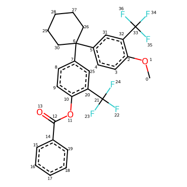 COc1ccc(C2(c3ccc(OC(=O)c4ccccc4)c(C(F)(F)F)c3)CCCCC2)cc1C(F)(F)F